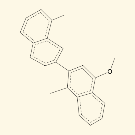 COc1cc(-c2ccc3cccc(C)c3c2)c(C)c2ccccc12